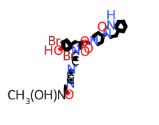 CN(O)C(=O)CN=C=C=NC=C=C=NC(=O)[C@@H](Cc1cc(Br)c(O)c(Br)c1)OC(=O)N1CCC(N2CCc3ccccc3NC2=O)CC1